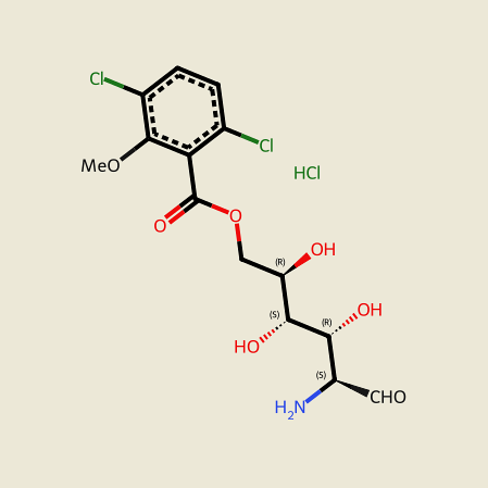 COc1c(Cl)ccc(Cl)c1C(=O)OC[C@@H](O)[C@@H](O)[C@H](O)[C@H](N)C=O.Cl